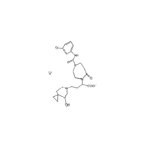 O=C([O-])C(CCN1CCC2(CC2)C(O)C1)N1CCN(C(=O)Nc2cccc(Cl)c2)CCC1=O.[Li+]